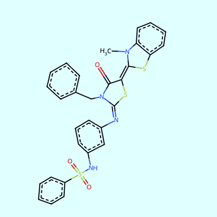 CN1C(=C2SC(=Nc3cccc(NS(=O)(=O)c4ccccc4)c3)N(Cc3ccccc3)C2=O)Sc2ccccc21